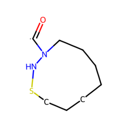 O=[C]N1CCCCCCCSN1